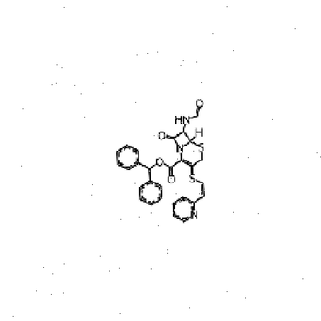 O=CNC1C(=O)N2C(C(=O)OC(c3ccccc3)c3ccccc3)=C(S/C=C\c3ccccn3)CS[C@@H]12